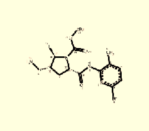 Cc1ccc(Br)nc1NC(=O)[C@@H]1C[C@H](CN)[C@@H](I)N1C(=O)OC(C)(C)C